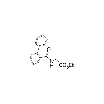 CCOC(=O)CNC(=O)c1ccccc1-c1ccccc1